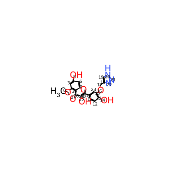 COc1cc(O)cc2oc(-c3ccc(O)c(OCc4c[nH]nn4)c3)c(O)c(=O)c12